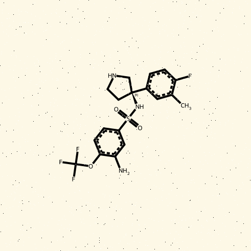 Cc1cc([C@]2(NS(=O)(=O)c3ccc(OC(F)(F)F)c(N)c3)CCNC2)ccc1F